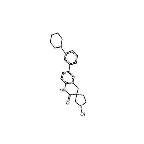 N#CN1CCC2(Cc3cc(-c4cccc(N5CCCCC5)c4)ccc3NC2=O)C1